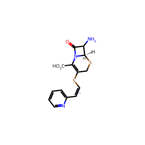 NC1C(=O)N2C(C(=O)O)=C(S/C=C\c3ccccn3)CS[C@H]12